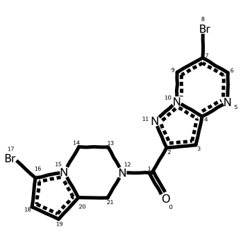 O=C(c1cc2ncc(Br)cn2n1)N1CCn2c(Br)ccc2C1